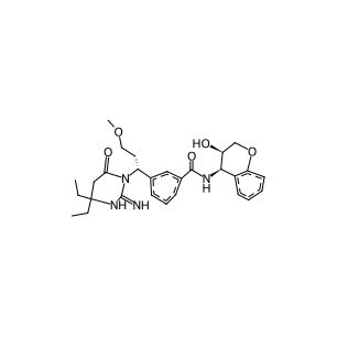 CCC1(CC)CC(=O)N([C@H](CCOC)c2cccc(C(=O)N[C@@H]3c4ccccc4OC[C@@H]3O)c2)C(=N)N1